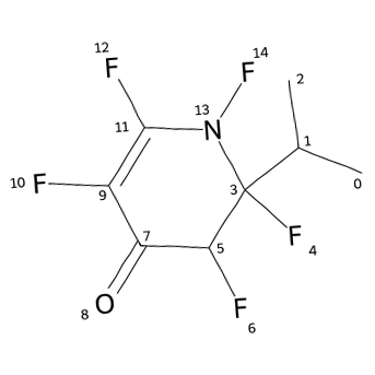 CC(C)C1(F)C(F)C(=O)C(F)=C(F)N1F